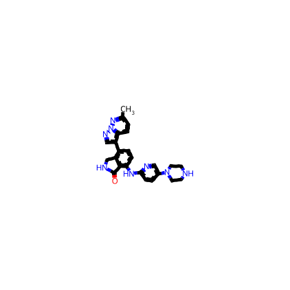 Cc1ccc2c(-c3ccc(Nc4ccc(N5CCNCC5)cn4)c4c3CNC4=O)cnn2n1